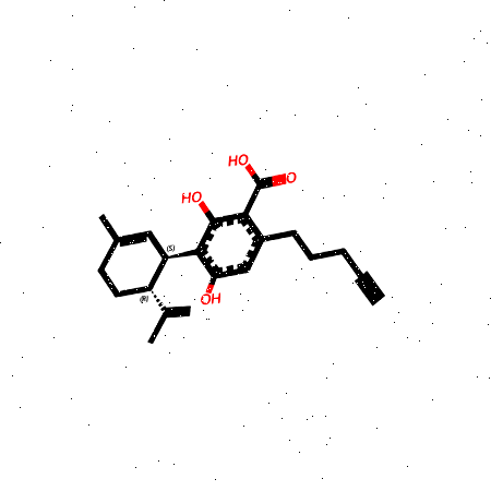 C#CCCCc1cc(O)c([C@@H]2C=C(C)CC[C@H]2C(=C)C)c(O)c1C(=O)O